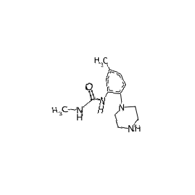 CNC(=O)Nc1cc(C)ccc1N1CCNCC1